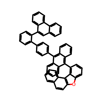 c1ccc(-c2cc3ccccc3c3ccccc23)c(-c2ccc(-c3c4ccccc4c(-c4cccc5oc6ccc7ccccc7c6c45)c4ccccc34)cc2)c1